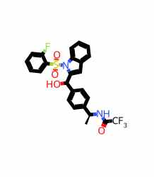 C[C@H](NC(=O)C(F)(F)F)c1ccc(C(O)c2cc3ccccc3n2S(=O)(=O)c2ccccc2F)cc1